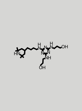 CC1(C)CC(CCCCNc2nc(NCCCO)nc(NCCCO)n2)CC(C)(C)N1